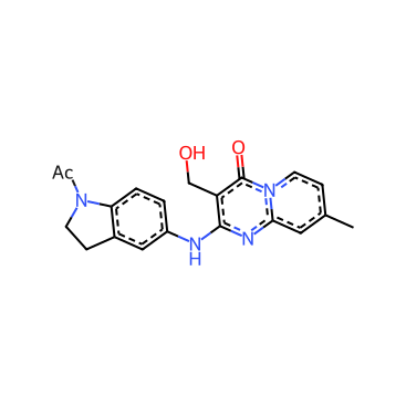 CC(=O)N1CCc2cc(Nc3nc4cc(C)ccn4c(=O)c3CO)ccc21